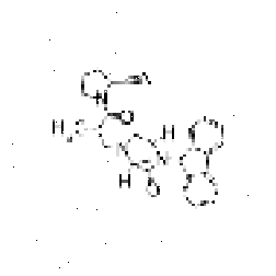 C[C@@H](CN1C[C@@H]2C[C@H]1C(=O)N2C1c2ccccc2-c2ccccc21)C(=O)N1CCC[C@H]1C#N